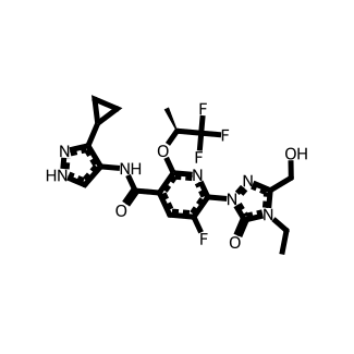 CCn1c(CO)nn(-c2nc(O[C@@H](C)C(F)(F)F)c(C(=O)Nc3c[nH]nc3C3CC3)cc2F)c1=O